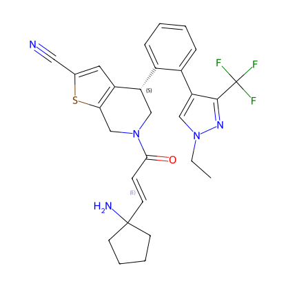 CCn1cc(-c2ccccc2[C@@H]2CN(C(=O)/C=C/C3(N)CCCC3)Cc3sc(C#N)cc32)c(C(F)(F)F)n1